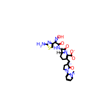 C[n+]1ccccc1N1CC/C(=C\C2=C(C(=O)[O-])N3C(=O)[C@@H](NC(=O)/C(=N\O)c4csc(N)n4)[C@H]3CC2)C1=O